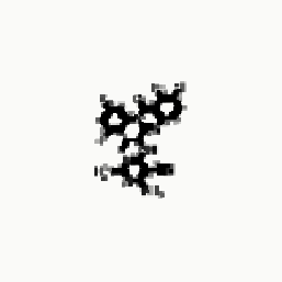 CC[C@H](Nc1nc(N)nc(N)c1C#N)c1nc2ccc(Cl)c(F)c2c(=O)n1-c1cc(F)cc(F)c1